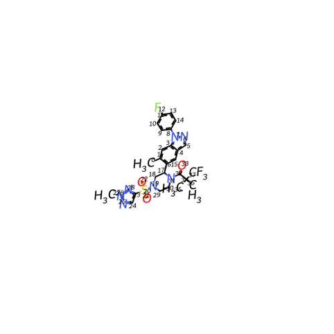 Cc1cc2c(cnn2-c2ccc(F)cc2)cc1C1CN(S(=O)(=O)c2cnn(C)n2)CCN1C(=O)C(C)(C)C(F)(F)F